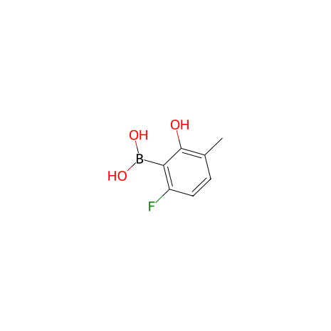 Cc1ccc(F)c(B(O)O)c1O